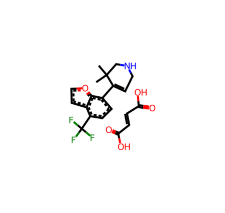 CC1(C)CNCC=C1c1ccc(C(F)(F)F)c2ccoc12.O=C(O)C=CC(=O)O